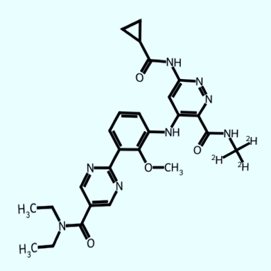 [2H]C([2H])([2H])NC(=O)c1nnc(NC(=O)C2CC2)cc1Nc1cccc(-c2ncc(C(=O)N(CC)CC)cn2)c1OC